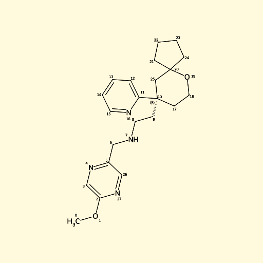 COc1cnc(CNCC[C@@]2(c3ccccn3)CCOC3(CCCC3)C2)cn1